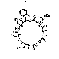 CCCC[C@@H](C)C[C@@H]1NC(=O)[C@H](Cc2ccccc2)N(C)C(=O)[C@H](CC(C)C)NC(=O)[C@H](CC(C)C)N(C)C(=O)[C@H](CC(C)C)NC(=O)[C@@H](C)OC(=O)[C@H](C)N(C)C1=O